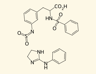 O=C(O)C(Cc1cccc(N=S(=O)=O)c1)NS(=O)(=O)c1ccccc1.c1ccc(NC2=NCCN2)cc1